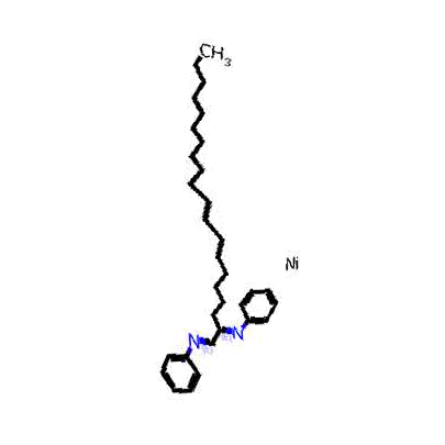 CCCCCCCCCCCCCCCCCCC(/C=N/c1ccccc1)=N\c1ccccc1.[Ni]